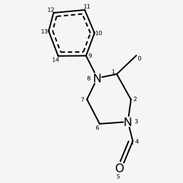 CC1CN([C]=O)CCN1c1ccccc1